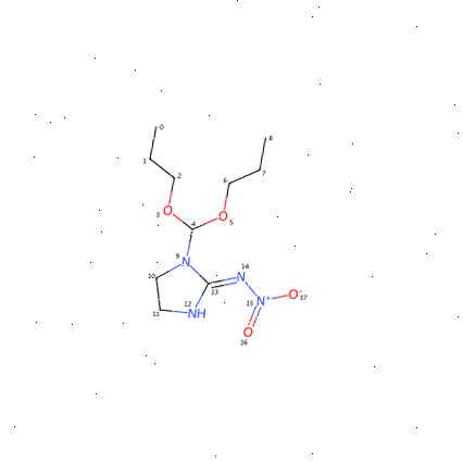 CCCOC(OCCC)N1CCNC1=N[N+](=O)[O-]